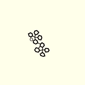 c1ccc(C2(c3ccccc3)c3ccccc3Oc3ccc(-c4cccc5c4-c4ccccc4C5(c4ccccc4)c4ccccc4)cc32)cc1